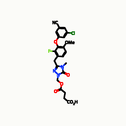 COc1ccc(Cc2nn(COC(=O)CCC(=O)O)c(=O)n2C)c(F)c1Oc1cc(Cl)cc(C#N)c1